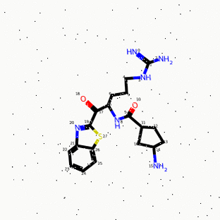 N=C(N)NCCCC(NC(=O)C1CCC(N)C1)C(=O)c1nc2ccccc2s1